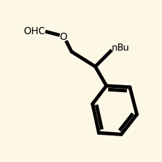 CCCCC(COC=O)c1ccccc1